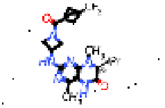 Cc1nc(NC2CN(C(=O)C34CC(C(F)(F)F)(C3)C4)C2)nc2c1NC(=O)[C@H](C(C)C)N2C